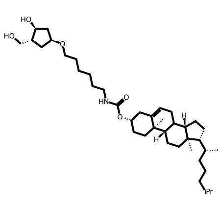 CC(C)CCC[C@@H](C)[C@H]1CC[C@H]2C3CC=C4C[C@@H](OC(=O)NCCCCCCO[C@H]5C[C@H](CO)[C@@H](O)C5)CC[C@]4(C)[C@H]3CC[C@]12C